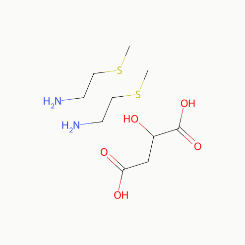 CSCCN.CSCCN.O=C(O)CC(O)C(=O)O